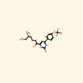 CCC(F)(F)Oc1ccc(-c2cc(C(=O)CCC[C@H](C)CO)nc(Cl)n2)cc1